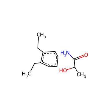 CC(O)C(N)=O.CCc1ccccc1CC